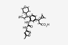 Cc1cc(NC(=O)Nc2cc(C(CC(=O)O)C3CC3)ccc2N(CC(C)C)C2CCOCC2)no1